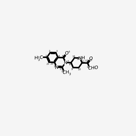 Cc1ccc2c(=O)n(C3CCC(C(=O)C=O)NC3)c(C)nc2c1